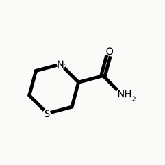 NC(=O)C1CSCC[N]1